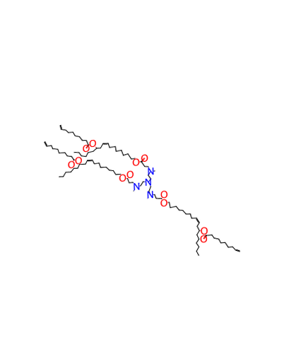 C=CCCCCCCCC(=O)OC(C/C=C\CCCCCCCCOC(=O)CCN(C)CCN(CCN(C)CCC(=O)OCCCCCCCC/C=C\CC(CCCCCC)OC(=O)CCCCCCCC=C)CCN(C)CCC(=O)OCCCCCCCC/C=C\CC(CCCCCC)OC(=O)CCCCCCCC=C)CCCCCC